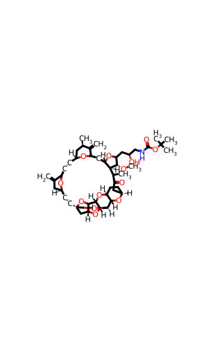 C=C1C[C@@H]2CC[C@@]34C[C@H]5O[C@H]6[C@@H](O3)[C@H]3O[C@H](CC[C@@H]3O[C@H]6[C@H]5O4)CC(=O)C(C)[C@H]3[C@H](CC4O[C@@H](CCC1O2)C[C@@H](C)C4=C)OC(C[C@H](O)CNC(=O)OC(C)(C)C)[C@@H]3OC